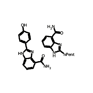 CCCCCc1nc2c(C(N)=O)cccc2[nH]1.NC(=O)c1cccc2[nH]c(-c3ccc(O)cc3)nc12